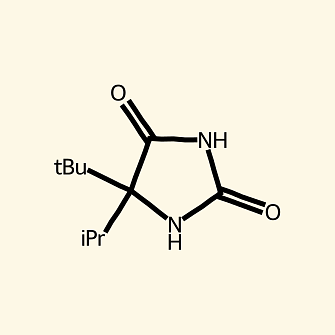 CC(C)C1(C(C)(C)C)NC(=O)NC1=O